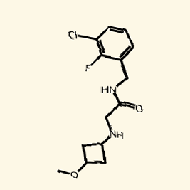 COC1CC(NCC(=O)NCc2cccc(Cl)c2F)C1